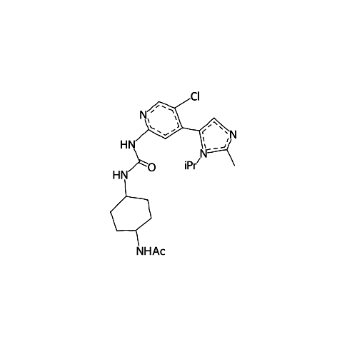 CC(=O)NC1CCC(NC(=O)Nc2cc(-c3cnc(C)n3C(C)C)c(Cl)cn2)CC1